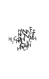 CNc1nc(Nc2cn(C3C[C@@H]4CC[C@@H](C3)O4)nc2C)ncc1C(F)(F)F